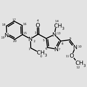 CCN(C(=O)c1cnc(/C=N\OC)n1C)c1cccnc1